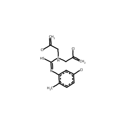 C=C(Cl)C[SH](CC(=C)Cl)C(S)=Nc1cc(Cl)ccc1C